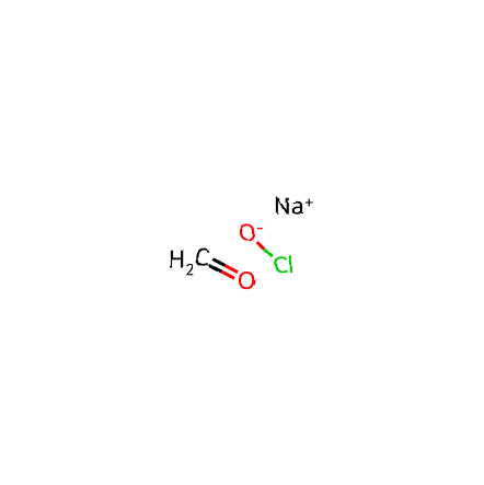 C=O.[Na+].[O-]Cl